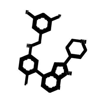 Fc1cc(F)cc(CNc2ccc(F)c(-c3ccnc4[nH]c(C5=CCNCC5)cc34)c2)c1